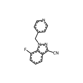 N#Cc1nn(Cc2ccncc2)c2c(F)cccc12